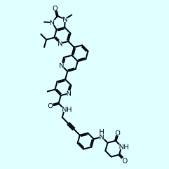 Cc1cc(-c2cc3cccc(-c4cc5c(c(C(C)C)n4)n(C)c(=O)n5C)c3cn2)cnc1C(=O)NCC#Cc1cccc(NC2CCC(=O)NC2=O)c1